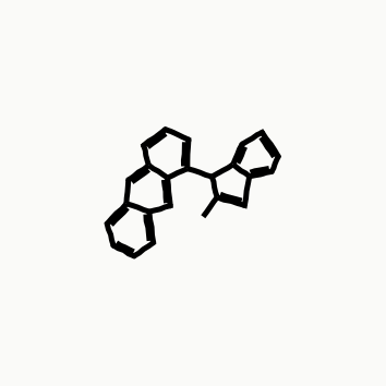 CC1=Cc2ccccc2C1c1cccc2cc3ccccc3cc12